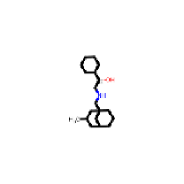 CC1CC2CCCC(CNC[C@@H](O)C3CCCCC3)(C1)C2